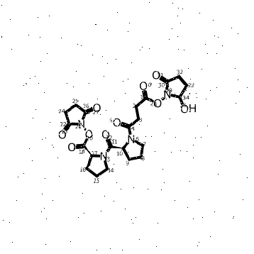 O=C(CCC(=O)N1CCC[C@H]1C(=O)N1CCC[C@H]1C(=O)ON1C(=O)CCC1=O)ON1C(=O)CCC1O